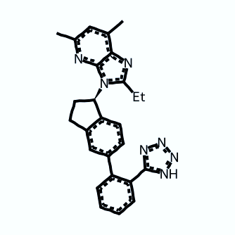 CCc1nc2c(C)cc(C)nc2n1[C@@H]1CCc2cc(-c3ccccc3-c3nnn[nH]3)ccc21